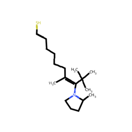 C/C(CCCCCCS)=C(\N1CCCC1C)C(C)(C)C